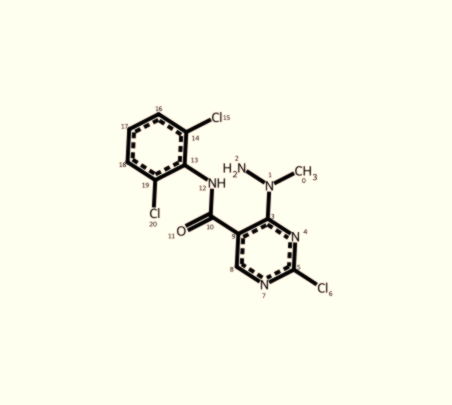 CN(N)c1nc(Cl)ncc1C(=O)Nc1c(Cl)cccc1Cl